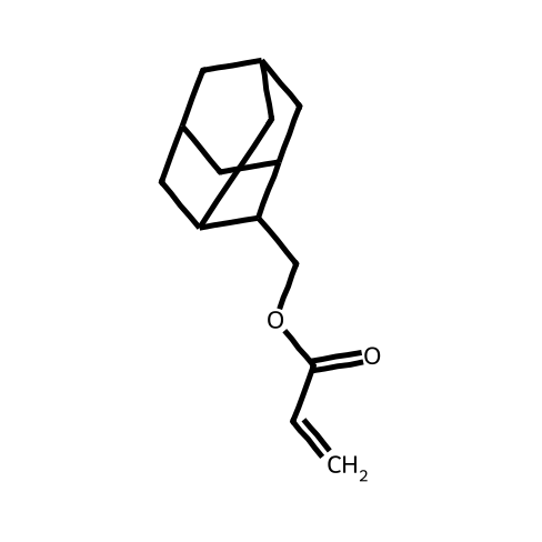 C=CC(=O)OCC1C2CC3CC(C2)CC1C3